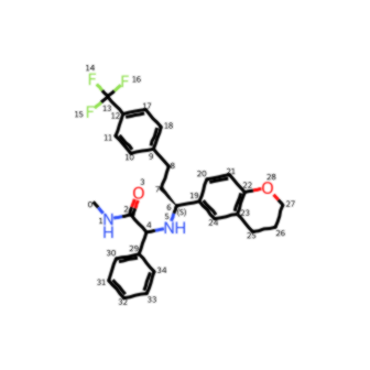 CNC(=O)C(N[C@@H](CCc1ccc(C(F)(F)F)cc1)c1ccc2c(c1)CCCO2)c1ccccc1